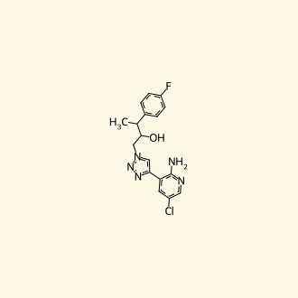 CC(c1ccc(F)cc1)C(O)Cn1cc(-c2cc(Cl)cnc2N)nn1